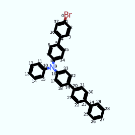 Brc1ccc(-c2ccc(N(c3ccccc3)c3ccc(-c4ccc(-c5ccccc5)cc4)cc3)cc2)cc1